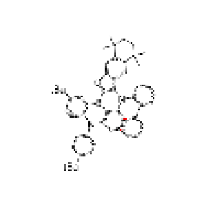 Cc1cc2c3c(c1)N(c1ccccc1-c1ccccc1)c1c(oc4cc5c(cc14)C(C)(C)CCC5(C)C)B3c1cc(C(C)(C)C)c#cc1N2c1ccc(C(C)(C)C)cc1